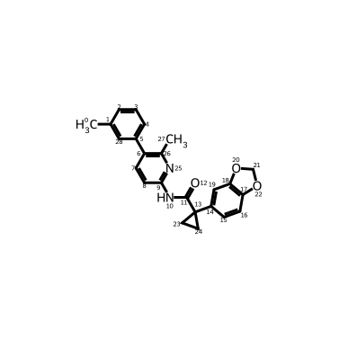 Cc1cccc(-c2ccc(NC(=O)C3(c4ccc5c(c4)OCO5)CC3)nc2C)c1